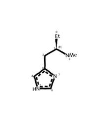 CC[C@H](Cc1c[nH]cn1)NC